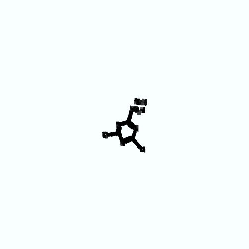 O=S(=O)(O)c1nc(Cl)nc(Cl)n1.[NaH]